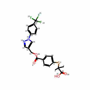 CC(C)(Sc1ccc(C(=O)OCc2cnn(-c3ccc(C(F)(F)F)cc3)c2)cc1)C(=O)O